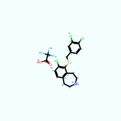 Clc1ccc(CSc2c(Cl)ccc3c2CCNCC3)cc1Cl.O=C(O)C(F)(F)F